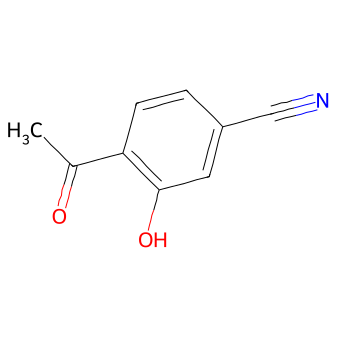 CC(=O)c1ccc(C#N)cc1O